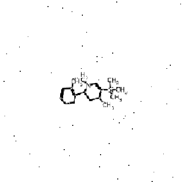 CC1=C(C2CC(C)C([Si](C)(C)C)=CN2C)CCC=C1